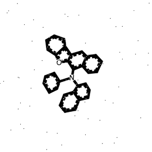 c1ccc(N(c2cccc3ccccc23)c2c3ccccc3cc3c2oc2ccccc23)cc1